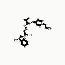 CC(C)C(N=NCC(O)[n+]1cn(O)c2ccccc21)=NN=c1ccn(CCO)cc1